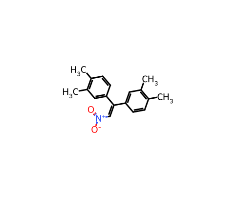 Cc1ccc(C(=C[N+](=O)[O-])c2ccc(C)c(C)c2)cc1C